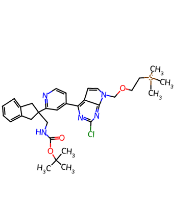 CC(C)(C)OC(=O)NCC1(c2cc(-c3nc(Cl)nc4c3ccn4COCCS(C)(C)C)ccn2)Cc2ccccc2C1